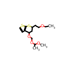 CCOCCC1CC(OCOC(C)OC)c2ccsc2S1